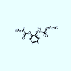 CCCCCC(=O)Nc1ccccc1OC(=O)CCCCC